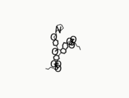 CCCCS(=O)(=O)Oc1cccc(-c2ccc3cc(OS(=O)(=O)CCCC)ccc3c2C(=O)c2ccc(OCCN3CCCCC3)cc2)c1